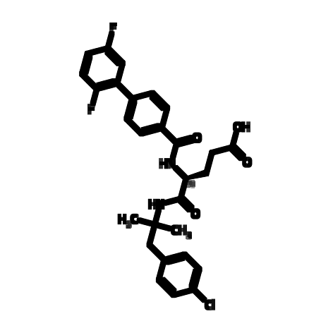 CC(C)(Cc1ccc(Cl)cc1)NC(=O)[C@H](CCC(=O)O)NC(=O)c1ccc(-c2cc(F)ccc2F)cc1